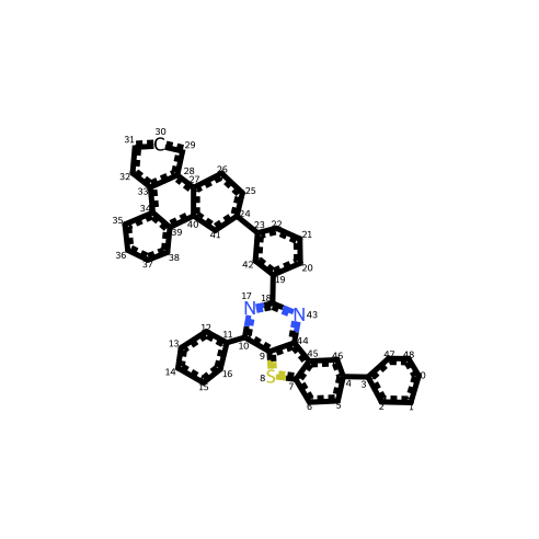 c1ccc(-c2ccc3sc4c(-c5ccccc5)nc(-c5cccc(-c6ccc7c8ccccc8c8ccccc8c7c6)c5)nc4c3c2)cc1